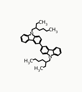 CCCCC(CC)Cn1c2ccccc2c2cc(-c3ccc4c(c3)c3ccccc3n4CC(CC)CCCC)ccc21